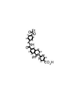 CCS(=O)(=O)c1ccc(CNC(=O)c2ccc3c(c2)CCN(c2ncc(C(=O)O)cn2)C3C(C)C)cc1